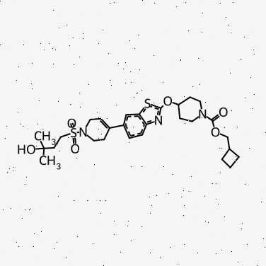 CC(C)(O)CCS(=O)(=O)N1CC=C(c2ccc3nc(OC4CCN(C(=O)OCC5CCC5)CC4)sc3c2)CC1